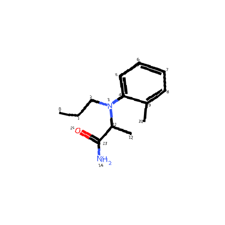 CCCN(c1ccccc1C)C(C)C(N)=O